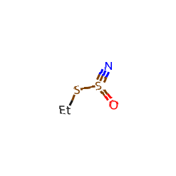 CCSS(#N)=O